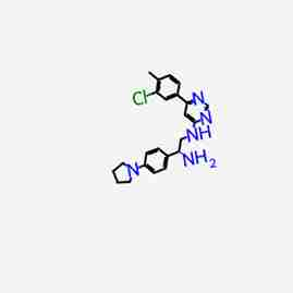 Cc1ccc(-c2cc(NC[C@H](N)c3ccc(N4CCCC4)cc3)ncn2)cc1Cl